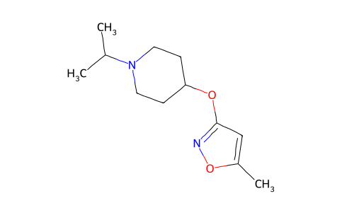 Cc1cc(OC2CCN(C(C)C)CC2)no1